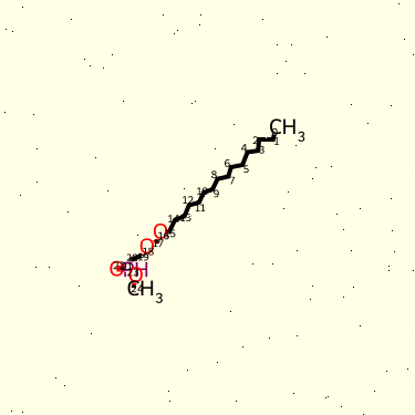 CCCCCCCCCCCCCCCCOCOCC[PH](=O)OC